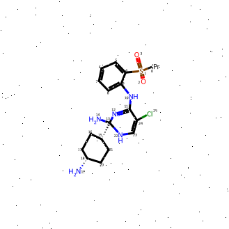 CC(C)S(=O)(=O)c1ccccc1NC1=NC(N)([C@H]2CC[C@@H](N)CC2)NC=C1Cl